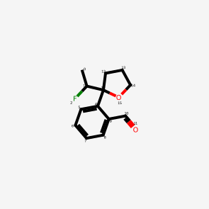 CC(F)C1(c2ccccc2C=O)CCCO1